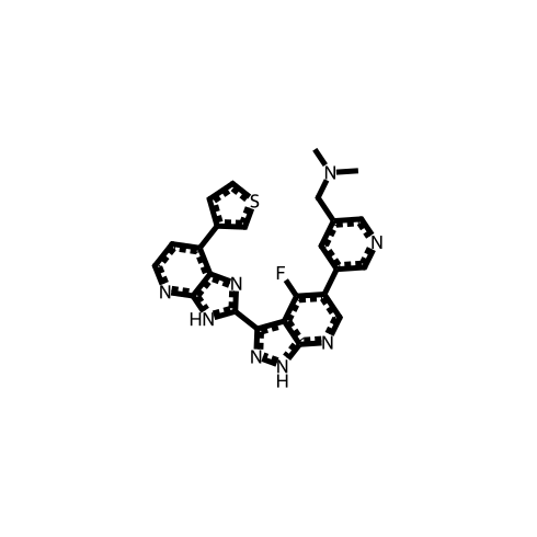 CN(C)Cc1cncc(-c2cnc3[nH]nc(-c4nc5c(-c6ccsc6)ccnc5[nH]4)c3c2F)c1